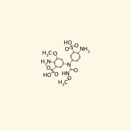 CONC(=O)N(c1ccc(N)c(S(=O)(=O)O)c1)c1cc(OC)c(N)c(S(=O)(=O)O)c1